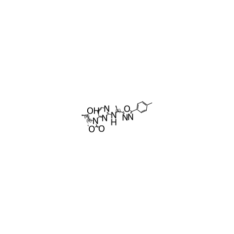 Cc1ccc(-c2nnc([C@H](C)Nc3nccc(N4C(=O)OC[C@@H]4[C@@H](C)O)n3)o2)cc1